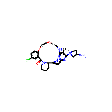 Cc1c(N2CCC(N)C2)nc2cc3nn2c1NCCOCCOc1ccc(Cl)cc1C(=O)N1CCCCC31